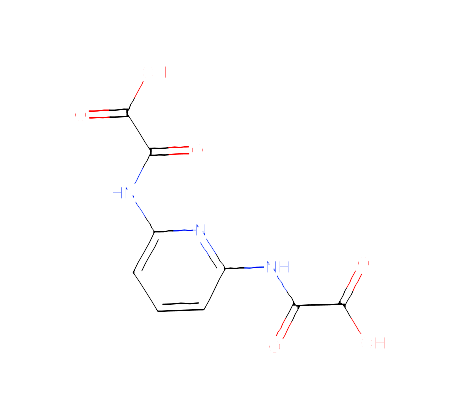 O=C(O)C(=O)Nc1cccc(NC(=O)C(=O)O)n1